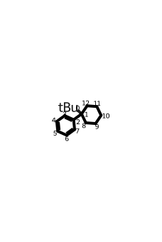 CC(C)(C)C1(c2ccccc2)CCCCC1